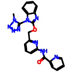 Cn1nnnc1-n1c(OCc2cccc(NC(=O)c3ccccn3)n2)nc2ccccc21